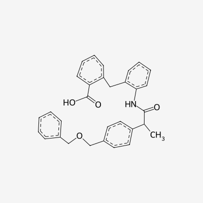 CC(C(=O)Nc1ccccc1Cc1ccccc1C(=O)O)c1ccc(COCc2ccccc2)cc1